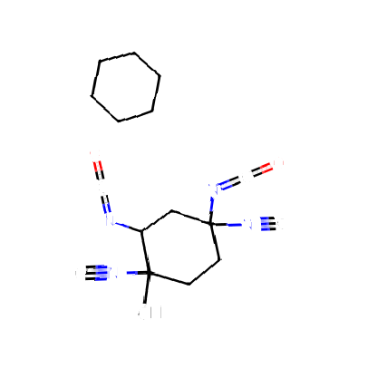 C1CCCCC1.[C-]#[N+]C1(N=C=O)CCC(C)([N+]#[C-])C(N=C=O)C1